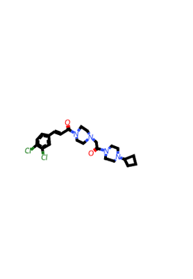 O=C(C=Cc1ccc(Cl)c(Cl)c1)N1CCN(CC(=O)N2CCN(C3CCC3)CC2)CC1